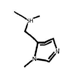 Cn1cncc1C[SH](C)C